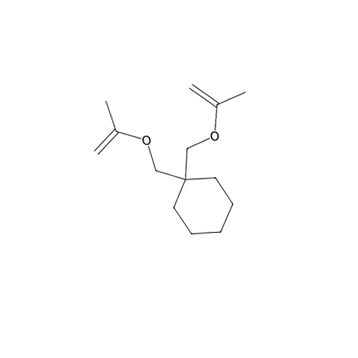 C=C(C)OCC1(COC(=C)C)CCCCC1